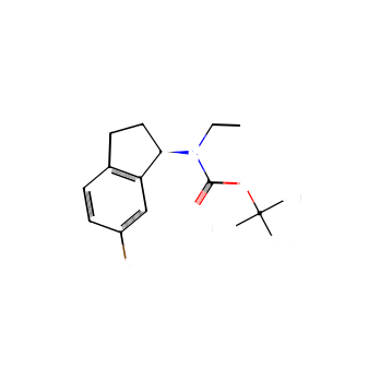 CCN(C(=O)OC(C)(C)C)[C@@H]1CCc2ccc(Br)cc21